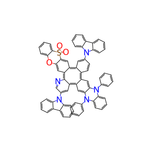 O=S1(=O)c2ccccc2Oc2cc3c(cc21)c1cc(-n2c4ccccc4c4ccccc42)ccc1c1cc2c(cc1c1cc(-n4c5ccccc5c5ccccc54)cnc13)n(-c1ccccc1)c1ccccc1n2-c1ccccc1